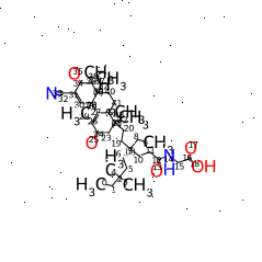 CCC(C)(C)CC[C@](CC)(CCC(=O)NCC(=O)O)CC[C@]1(C)CC(=O)C=C2[C@@]3(C)C=C(C#N)C(=O)C(C)(C)[C@@H]3CC[C@]21C